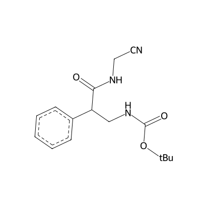 CC(C)(C)OC(=O)NCC(C(=O)NCC#N)c1ccccc1